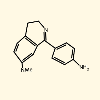 CNc1ccc2c(c1)C(c1ccc(N)cc1)=NCC2